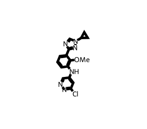 COc1c(Nc2cnnc(Cl)c2)cccc1-c1ncn(C2CC2)n1